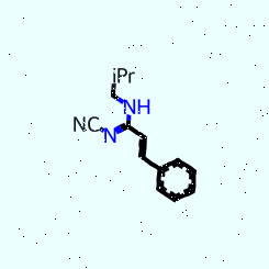 CC(C)CNC(C=Cc1ccccc1)=NC#N